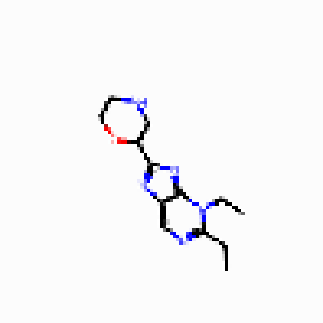 CCc1ncc2nc(C3CNCCO3)nc-2n1CC